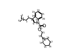 CN(C)CCc1cn(C(=O)OCCN2CCCCC2)c2ccccc12